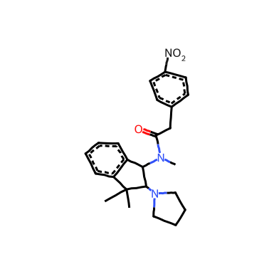 CN(C(=O)Cc1ccc([N+](=O)[O-])cc1)C1c2ccccc2C(C)(C)C1N1CCCC1